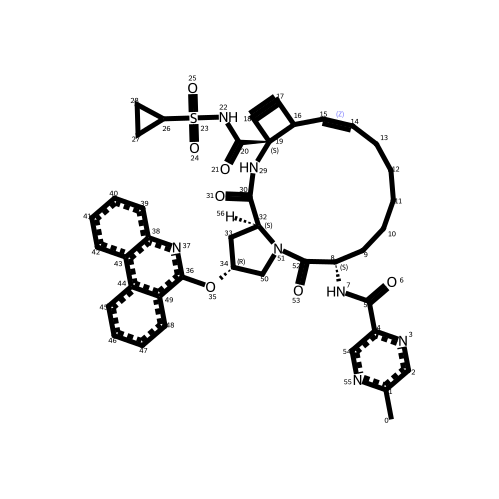 Cc1cnc(C(=O)N[C@H]2CCCCC/C=C\C3C#C[C@@]3(C(=O)NS(=O)(=O)C3CC3)NC(=O)[C@@H]3C[C@@H](Oc4nc5ccccc5c5ccccc45)CN3C2=O)cn1